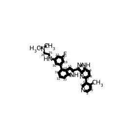 Cc1ccncc1-c1ccc2[nH]nc(-c3cc4c(-c5cc(F)cc(NCCN(C)C)c5)cccc4[nH]3)c2n1